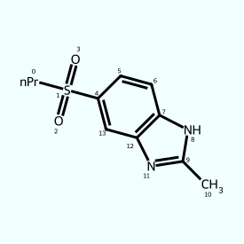 CCCS(=O)(=O)c1ccc2[nH]c(C)nc2c1